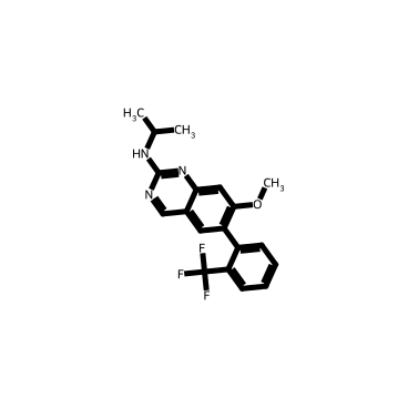 COc1cc2nc(NC(C)C)ncc2cc1-c1ccccc1C(F)(F)F